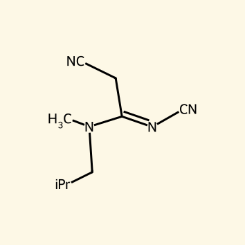 CC(C)CN(C)/C(CC#N)=N/C#N